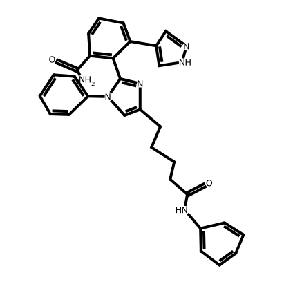 NC(=O)c1cccc(-c2cn[nH]c2)c1-c1nc(CCCCC(=O)Nc2ccccc2)cn1-c1ccccc1